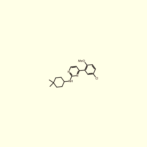 COc1ccc(Cl)cc1-c1ccnc(NC2CCC(C)(C)CC2)n1